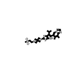 Cc1c(-c2[nH]c3sc(N4CC5(CN(CCS(C)(=O)=O)C5)C4)nc3c2C(C)C)cn2ncnc2c1C